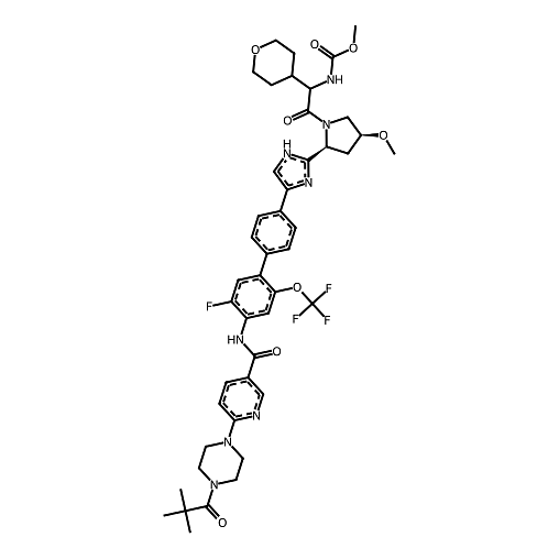 COC(=O)NC(C(=O)N1C[C@@H](OC)C[C@H]1c1nc(-c2ccc(-c3cc(F)c(NC(=O)c4ccc(N5CCN(C(=O)C(C)(C)C)CC5)nc4)cc3OC(F)(F)F)cc2)c[nH]1)C1CCOCC1